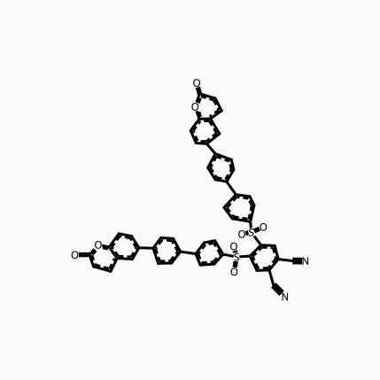 N#Cc1cc(S(=O)(=O)c2ccc(-c3ccc(-c4ccc5oc(=O)ccc5c4)cc3)cc2)c(S(=O)(=O)c2ccc(-c3ccc(-c4ccc5oc(=O)ccc5c4)cc3)cc2)cc1C#N